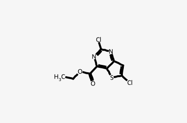 CCOC(=O)c1nc(Cl)nc2cc(Cl)sc12